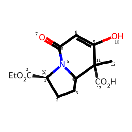 CCOC(=O)[C@@H]1CCC2N1C(=O)C=C(O)C2(C)C(=O)O